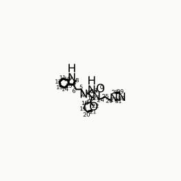 O=C1NC(=NCCc2c[nH]c3ccccc23)C(C2CCC=CO2)N1CCCn1ccnc1